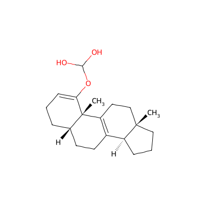 C[C@@]12CCC[C@H]1C1=C(CC2)[C@@]2(C)C(OC(O)O)=CCC[C@H]2CC1